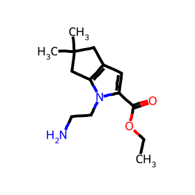 CCOC(=O)c1cc2c(n1CCN)CC(C)(C)C2